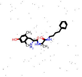 Cc1cc(O)cc(C)c1C[C@H](N)C(=O)N[C@H](C)C(=O)NCCCCc1ccccc1